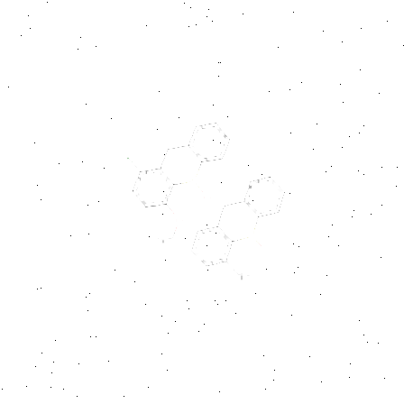 CC(C)c1cccc2c1[S+]([O-])c1ccccc1C2.CCCOc1ccc(Cl)c2c1[S+]([O-])c1ccccc1C2